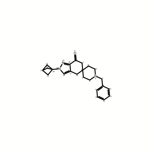 O=C1CC2(CCN(Cc3ccccc3)CC2)Cc2cn(C34CC(C3)C4)nc21